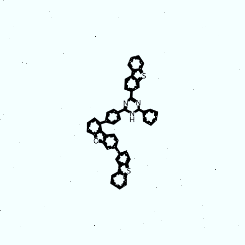 c1ccc(C2N=C(c3ccc4c(c3)sc3ccccc34)N=C(c3ccc(-c4cccc5oc6cc(-c7ccc8sc9ccccc9c8c7)ccc6c45)cc3)N2)cc1